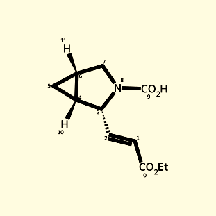 CCOC(=O)/C=C/[C@@H]1[C@@H]2C[C@@H]2CN1C(=O)O